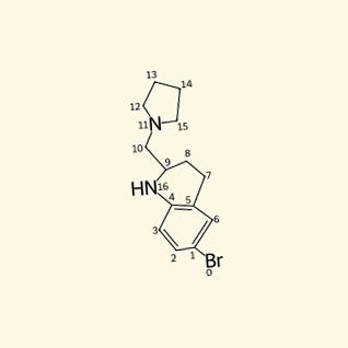 Brc1ccc2c(c1)CCC(CN1CCCC1)N2